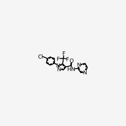 O=C(Nc1cnccn1)c1cnn(-c2ccc(Cl)cc2)c1C(F)(F)F